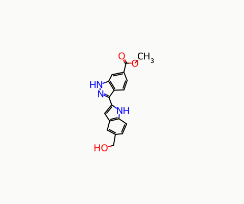 COC(=O)c1ccc2c(-c3cc4cc(CO)ccc4[nH]3)n[nH]c2c1